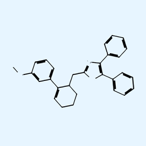 COc1cccc(C2=CCCCC2Cc2nc(-c3ccccc3)c(-c3ccccc3)o2)c1